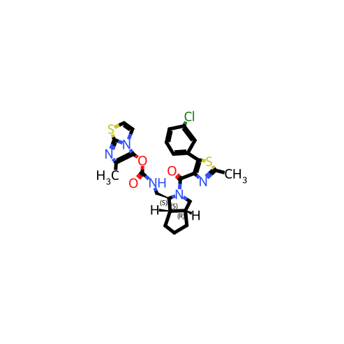 Cc1nc(C(=O)N2C[C@@H]3CCC[C@@H]3[C@H]2CNC(=O)Oc2c(C)nc3sccn23)c(-c2cccc(Cl)c2)s1